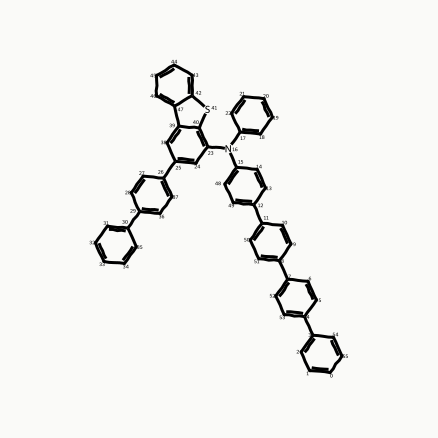 c1ccc(-c2ccc(-c3ccc(-c4ccc(N(c5ccccc5)c5cc(-c6ccc(-c7ccccc7)cc6)cc6c5sc5ccccc56)cc4)cc3)cc2)cc1